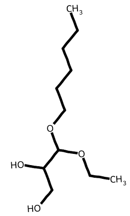 CCCCCCOC(OCC)C(O)CO